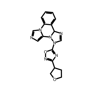 C1=NC2c3ccccc3-n3cncc3N2N1c1nc(C2CCOC2)no1